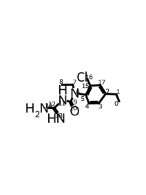 CCc1ccc(N(CC)C(=O)NC(=N)N)c(Cl)c1